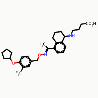 C/C(=N\OCc1ccc(OC2CCCC2)c(C(F)(F)F)c1)c1cccc2c1CCCC2NCCCC(=O)O